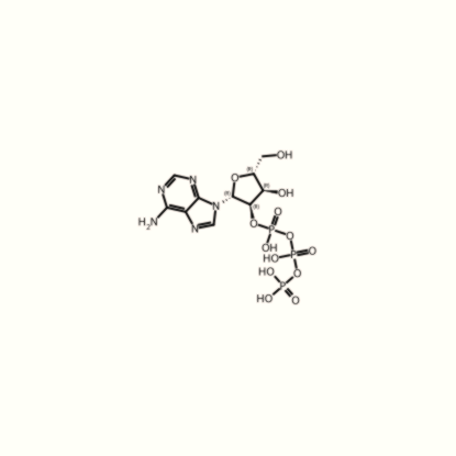 Nc1ncnc2c1ncn2[C@@H]1O[C@H](CO)[C@@H](O)[C@H]1OP(=O)(O)OP(=O)(O)OP(=O)(O)O